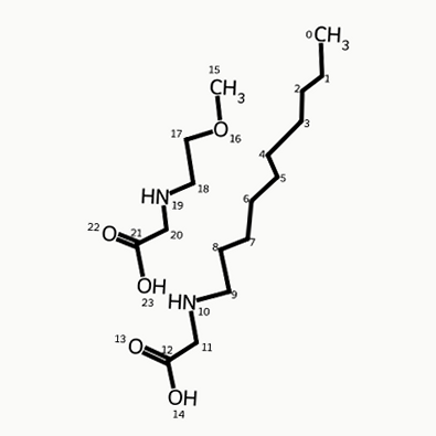 CCCCCCCCCCNCC(=O)O.COCCNCC(=O)O